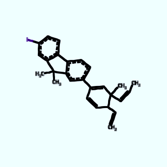 C=CC1C=CC(c2ccc3c(c2)C(C)(C)c2cc(I)ccc2-3)=CC1(C)/C=C\C